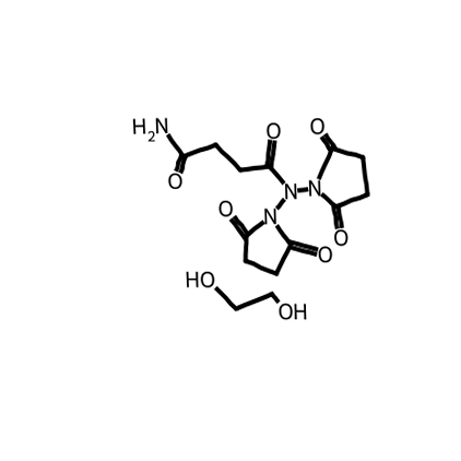 NC(=O)CCC(=O)N(N1C(=O)CCC1=O)N1C(=O)CCC1=O.OCCO